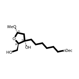 CCCCCCCCCCCCCCCC[C@]1(O)C[C@@H](OC)O[C@@H]1CO